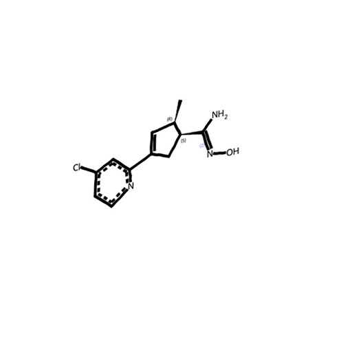 C[C@@H]1C=C(c2cc(Cl)ccn2)C[C@@H]1/C(N)=N/O